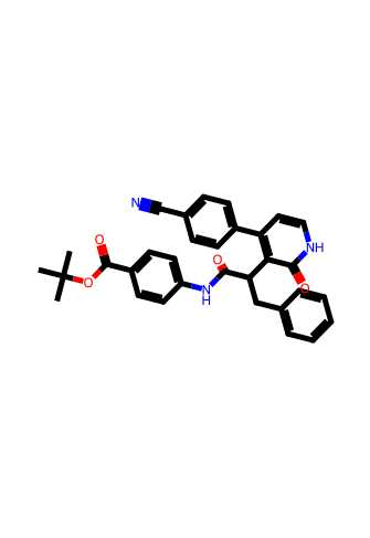 CC(C)(C)OC(=O)c1ccc(NC(=O)C(Cc2ccccc2)c2c(-c3ccc(C#N)cc3)cc[nH]c2=O)cc1